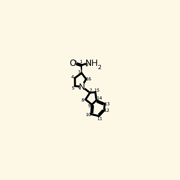 NC(=O)[C@@H]1CCN(C2Cc3ccccc3C2)C1